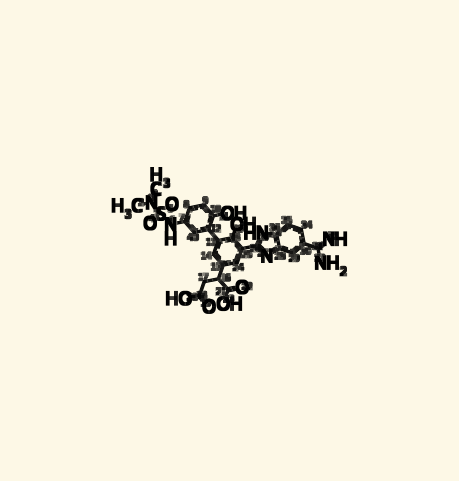 CN(C)S(=O)(=O)Nc1ccc(O)c(-c2cc(C(CC(=O)O)C(=O)O)cc(-c3nc4cc(C(=N)N)ccc4[nH]3)c2O)c1